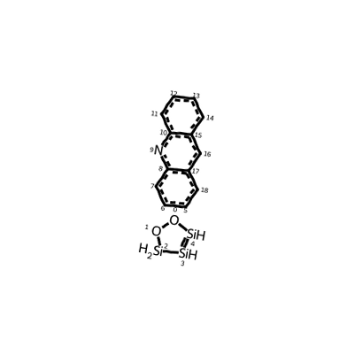 O1O[SiH2][SiH]=[SiH]1.c1ccc2nc3ccccc3cc2c1